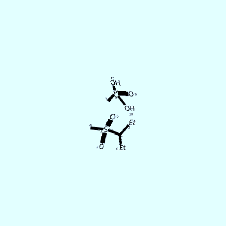 CCC(CC)S(C)(=O)=O.CP(=O)(O)O